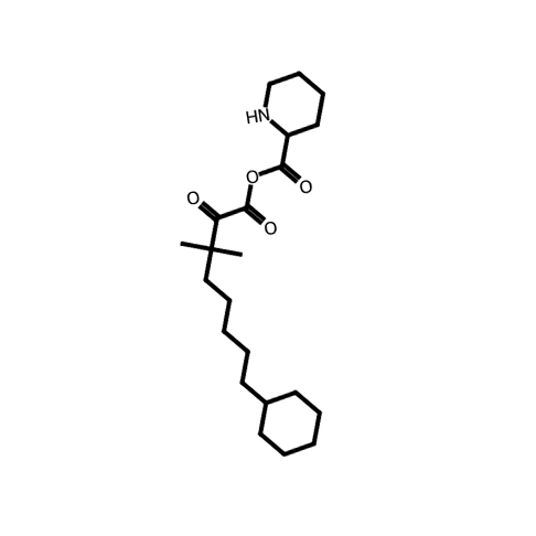 CC(C)(CCCCCC1CCCCC1)C(=O)C(=O)OC(=O)C1CCCCN1